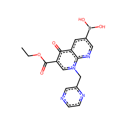 CCOC(=O)c1cn(Cc2cnccn2)c2ncc(B(O)O)cc2c1=O